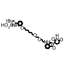 CC(C)(C)C[C@@H](NC(=O)O)c1cccc(OCCCCCCOCCOCCNc2cccc3c2CN(C2CCC(=O)NC2=O)C3=O)c1